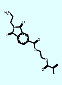 C=C(C)C(=O)OCCOC(=O)c1ccc2c(c1)C(=O)N(CCN)C2=O